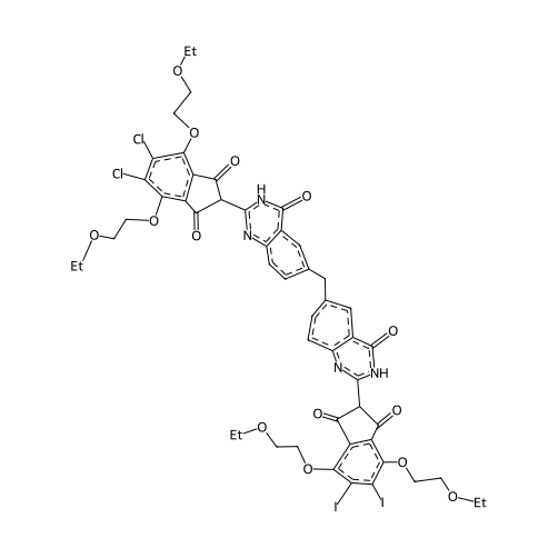 CCOCCOc1c(Cl)c(Cl)c(OCCOCC)c2c1C(=O)C(c1nc3ccc(Cc4ccc5nc(C6C(=O)c7c(OCCOCC)c(I)c(I)c(OCCOCC)c7C6=O)[nH]c(=O)c5c4)cc3c(=O)[nH]1)C2=O